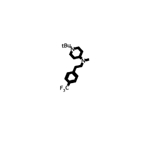 CN(CCc1ccc(C(F)(F)F)cc1)C1CCN(C(C)(C)C)CC1